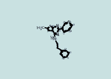 Cc1cc2c(NCCc3ccccc3)nc(-c3cccnc3)nc2s1